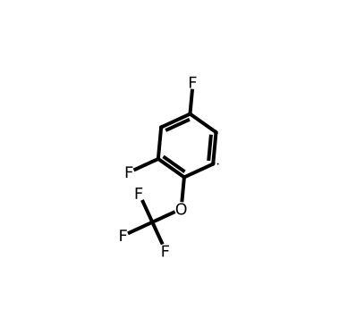 Fc1c[c]c(OC(F)(F)F)c(F)c1